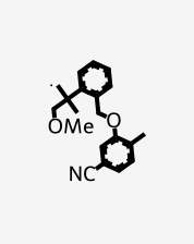 [CH2]C(C)(COC)c1ccccc1COc1cc(C#N)ccc1C